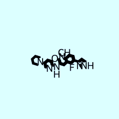 Cn1c(=O)c(Nc2ccc(N3CCCCC3)cn2)cc2c(F)c(-c3cc[nH]n3)ccc21